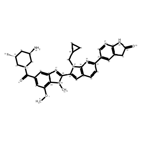 COc1cc(C(=O)N2C[C@H](N)C[C@@H](F)C2)cc2nc(-c3cc4ccc(-c5cnc6c(c5)CC(=O)N6)nc4n3CC3CC3)n(C)c12